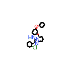 Cc1cccc2nc(-c3c(F)cccc3Cl)c(Nc3ccc(Oc4ccccc4)cc3)n12